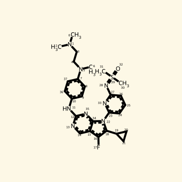 CN(C)CCN(C)c1ccc(Nc2ncc3c(F)c(C4CC4)n(-c4cccc(N=S(C)(C)=O)n4)c3n2)cc1